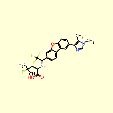 Cc1c(-c2ccc3oc4cc(C(NC(CC(C)(C)F)C(=O)O)C(F)(F)F)ccc4c3c2)ncn1C